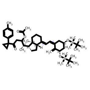 C=C1/C(=C\C=C2/CCC[C@]3(C)[C@@H]([C@H](C)C(CC(=O)C4(c5ccc(C)cc5)CC4)OC(C)=O)CC[C@@H]23)C[C@@H](O[Si](C)(C)C(C)(C)C)C[C@@H]1O[Si](C)(C)C(C)(C)C